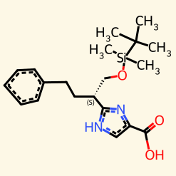 CC(C)(C)[Si](C)(C)OC[C@@H](CCc1ccccc1)c1nc(C(=O)O)c[nH]1